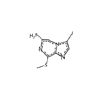 Bc1cn2c(I)cnc2c(SC)n1